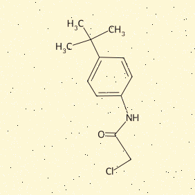 CC(C)(C)c1ccc(NC(=O)CCl)cc1